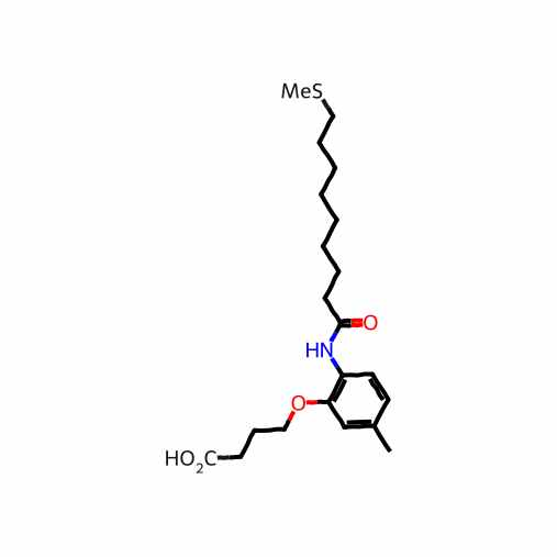 CSCCCCCCCCC(=O)Nc1ccc(C)cc1OCCCC(=O)O